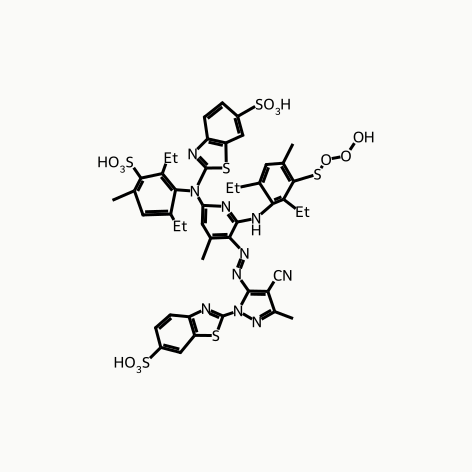 CCc1cc(C)c(SOOO)c(CC)c1Nc1nc(N(c2nc3ccc(S(=O)(=O)O)cc3s2)c2c(CC)cc(C)c(S(=O)(=O)O)c2CC)cc(C)c1N=Nc1c(C#N)c(C)nn1-c1nc2ccc(S(=O)(=O)O)cc2s1